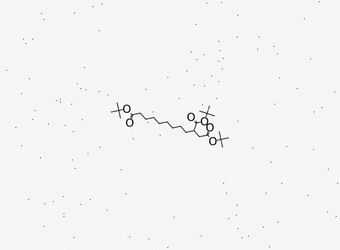 CC(C)(C)OC(=O)CCCCCCCCC(CC(=O)OC(C)(C)C)C(=O)OC(C)(C)C